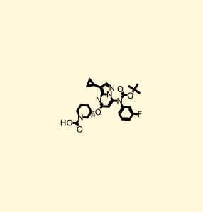 CC(C)(C)OC(=O)N(c1cccc(F)c1)c1cc(O[C@H]2CCCN(C(=O)O)C2)nc2c(C3CC3)cnn12